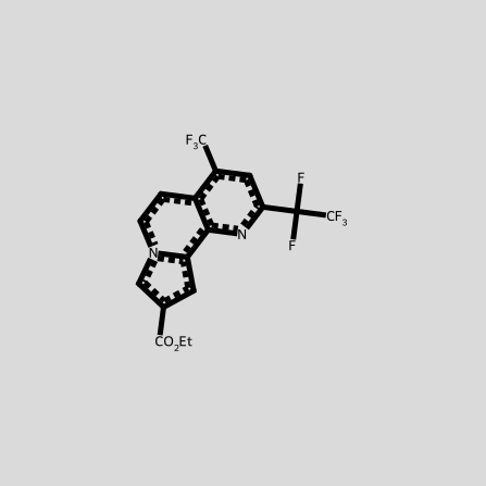 CCOC(=O)c1cc2c3nc(C(F)(F)C(F)(F)F)cc(C(F)(F)F)c3ccn2c1